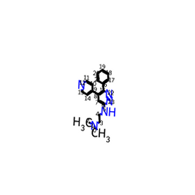 CN(C)CCNc1cc(-c2ccncc2)c(-c2ccccc2)nn1